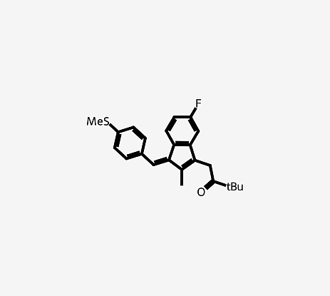 CSc1ccc(/C=C2/C(C)=C(CC(=O)C(C)(C)C)c3cc(F)ccc32)cc1